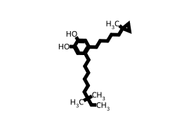 CCC(C)(C)CCCCCCc1cc(O)c(O)cc1CCCCCC1(C)CC1